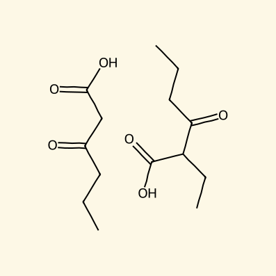 CCCC(=O)C(CC)C(=O)O.CCCC(=O)CC(=O)O